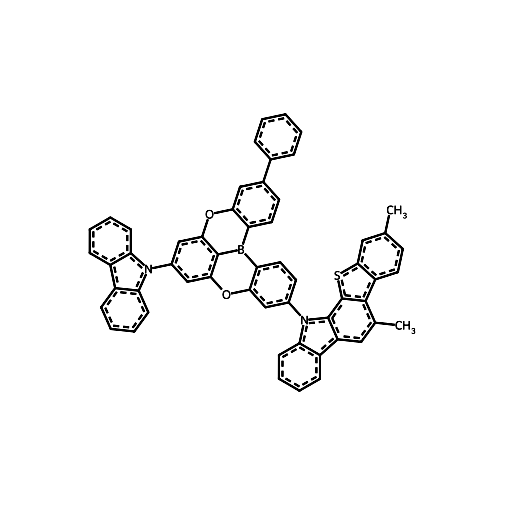 Cc1ccc2c(c1)sc1c2c(C)cc2c3ccccc3n(-c3ccc4c(c3)Oc3cc(-n5c6ccccc6c6ccccc65)cc5c3B4c3ccc(-c4ccccc4)cc3O5)c21